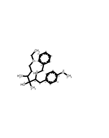 CCOCCC(C)C(C)(O)C(Cc1ccc(OC)cc1)NCc1ccccc1